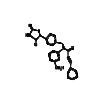 O=C1NC(=O)C(c2ccc(CN(C(=O)C#Cc3ccccc3)c3cccc(C(=O)O)c3)cc2)S1